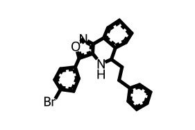 Brc1ccc(-c2onc3c2NC(CCc2ccccc2)c2ccccc2-3)cc1